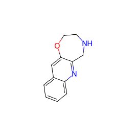 c1ccc2nc3c(cc2c1)OCCNC3